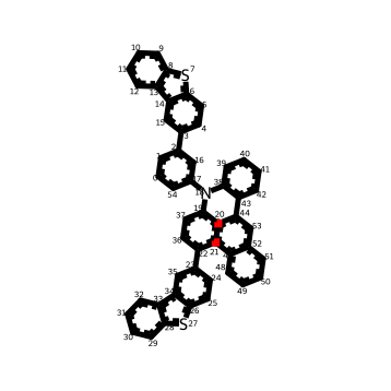 c1cc(-c2ccc3sc4ccccc4c3c2)cc(N(c2ccc(-c3ccc4sc5ccccc5c4c3)cc2)c2ccccc2-c2ccc3ccccc3c2)c1